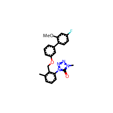 COc1cc(F)ccc1-c1cccc(OCc2c(C)cccc2-n2nnn(C)c2=O)c1